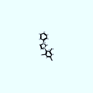 Cc1cc(C)c(N2C=CN(c3ccccc3)C2)c(C)c1